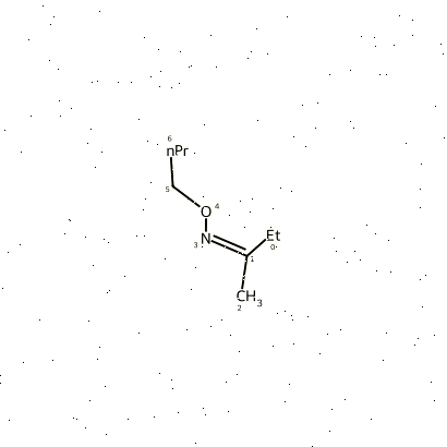 [CH2]C/C(C)=N\OCCCC